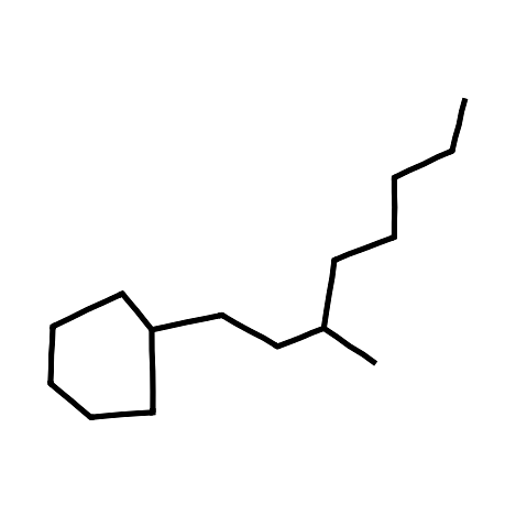 CCCCCC(C)CCC1CCCCC1